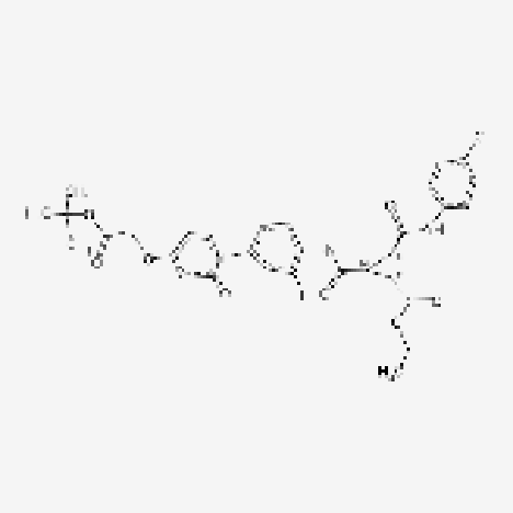 CCOC(=O)[C@H]1[C@H](C(=O)Nc2ccc(Cl)cc2)[C@@H]1C(=O)Nc1ccc(-n2ccc(OCC(=O)OC(C)(C)C)cc2=O)cc1F